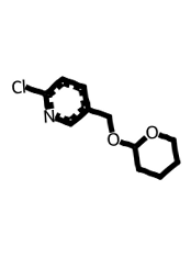 Clc1ccc(COC2CCCCO2)cn1